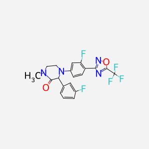 CN1CCN(c2ccc(-c3noc(C(F)(F)F)n3)c(F)c2)C(c2cccc(F)c2)C1=O